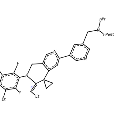 CC/C=C1/N(c2c(F)c(C)cc(CC)c2F)Cc2cnc(-c3cncc(CN(CCC)CCCCC)c3)cc2C12CC2